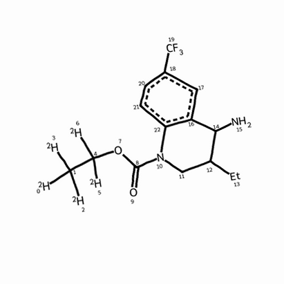 [2H]C([2H])([2H])C([2H])([2H])OC(=O)N1CC(CC)C(N)c2cc(C(F)(F)F)ccc21